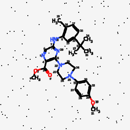 COC(=O)c1ncc(Nc2cc(C(C)(C)C)ccc2C)nc1N1CCN(c2ccc(OC)cc2)CC1